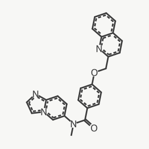 CN(C(=O)c1ccc(OCc2ccc3ccccc3n2)cc1)c1ccc2nccn2c1